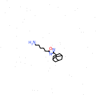 NCCCC[CH]c1nc(C23CC4CC(CC(C4)C2)C3)no1